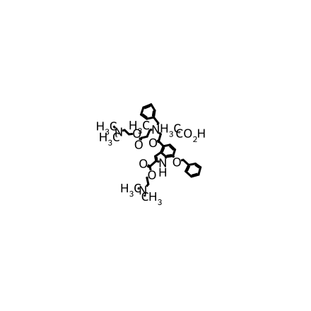 CC(=O)O.CC(CC(=O)OCCN(C)C)N(CC(=O)c1ccc(OCc2ccccc2)c2[nH]c(C(=O)OCCN(C)C)cc12)Cc1ccccc1